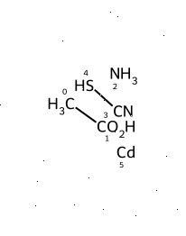 CC(=O)O.N.N#CS.[Cd]